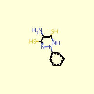 NC1=C(S)NN(c2ccccc2)N=C1S